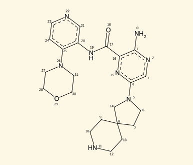 Nc1ncc(N2CCC3(CCNCC3)C2)nc1C(=O)Nc1cnccc1N1CCOCC1